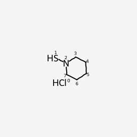 Cl.SN1CCCCC1